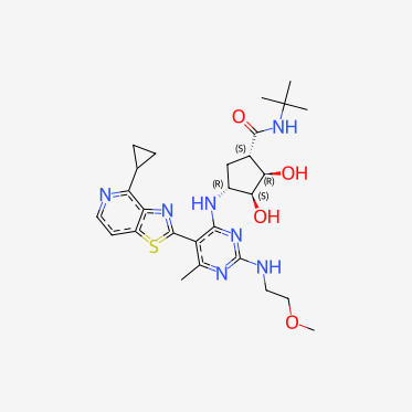 COCCNc1nc(C)c(-c2nc3c(C4CC4)nccc3s2)c(N[C@@H]2C[C@H](C(=O)NC(C)(C)C)[C@@H](O)[C@H]2O)n1